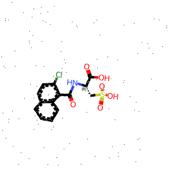 O=C(N[C@@H](CS(=O)(=O)O)C(=O)O)c1c(Cl)ccc2ccccc12